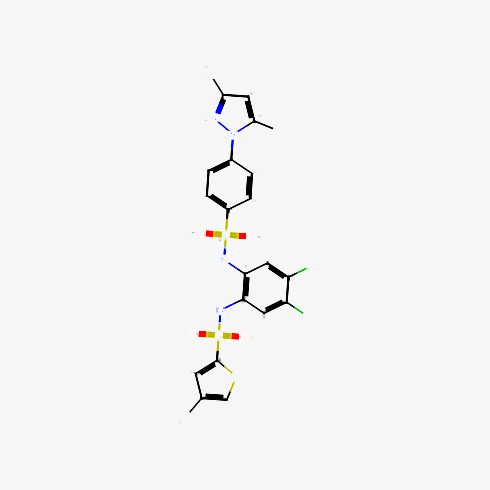 Cc1csc(S(=O)(=O)Nc2cc(Cl)c(Cl)cc2NS(=O)(=O)c2ccc(-n3nc(C)cc3C)cc2)c1